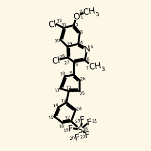 COc1cc2nc(C)c(-c3ccc(-c4cccc(S(F)(F)(F)(F)F)c4)cc3)c(Cl)c2cc1Cl